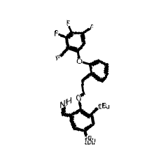 CC(C)(C)c1cc(C=N)c(OCCc2ccccc2Oc2cc(F)c(F)c(F)c2F)c(C(C)(C)C)c1